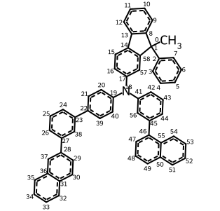 CC1(c2ccccc2)c2ccccc2-c2ccc(N(c3ccc(-c4cccc(-c5ccc6ccccc6c5)c4)cc3)c3cccc(-c4cccc5ccccc45)c3)cc21